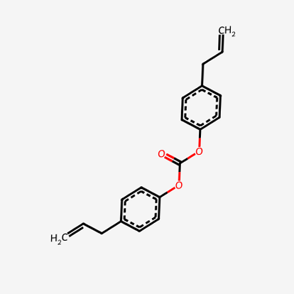 C=CCc1ccc(OC(=O)Oc2ccc(CC=C)cc2)cc1